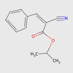 CC(C)OC(=O)C(C#N)=Cc1ccccc1